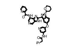 CC(C)CC(=O)Nc1cncc(Oc2ccc3c(c2)c(-c2nc4c(NC(=O)c5ccccn5)cncc4[nH]2)nn3C2CCCCO2)c1